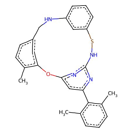 Cc1ccc2cc1Oc1cc(-c3c(C)cccc3C)nc(n1)NSc1cccc(c1)NC2